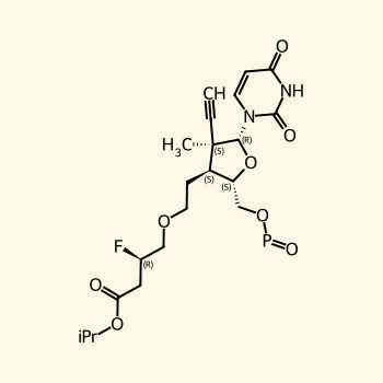 C#C[C@]1(C)[C@H](CCOC[C@H](F)CC(=O)OC(C)C)[C@@H](COP=O)O[C@H]1n1ccc(=O)[nH]c1=O